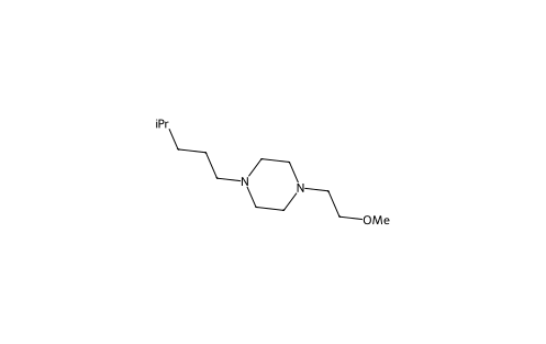 COCCN1CCN(CCCC(C)C)CC1